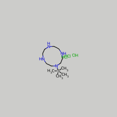 Cl.Cl.Cl.[CH3][Ti]([CH3])([CH3])([CH3])[N]1CCNCCNCCNCC1